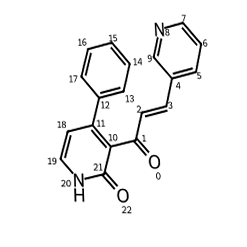 O=C(/C=C/c1cccnc1)c1c(-c2ccccc2)cc[nH]c1=O